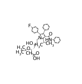 CC(C)c1c(C(=O)Nc2ccccc2)c(-c2ccccc2)c(-c2ccc(F)cc2)n1CC[C@@H](O)C[C@H](CC(=O)O)OC(C)(C)C